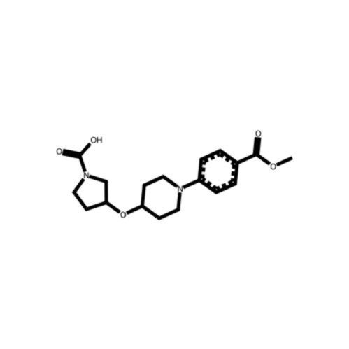 COC(=O)c1ccc(N2CCC(OC3CCN(C(=O)O)C3)CC2)cc1